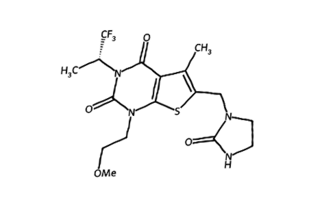 COCCn1c(=O)n([C@H](C)C(F)(F)F)c(=O)c2c(C)c(CN3CCNC3=O)sc21